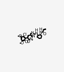 C=CC(=O)N[C@H]1CCCC[C@H]1Nc1ncc2cc(-c3c(Cl)c(OC)cc(OC)c3Cl)c(=O)n(C)c2n1